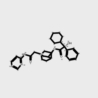 O=C(C[N+]12CCC(CC1)C(OC(=O)[C@](O)(c1ccccc1)C1CCCCC1)C2)Nc1ccncn1